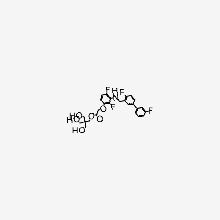 O=C(COc1ccc(F)c(NCc2cc(-c3cccc(F)c3)ccc2F)c1F)OCC(CO)(CO)CO